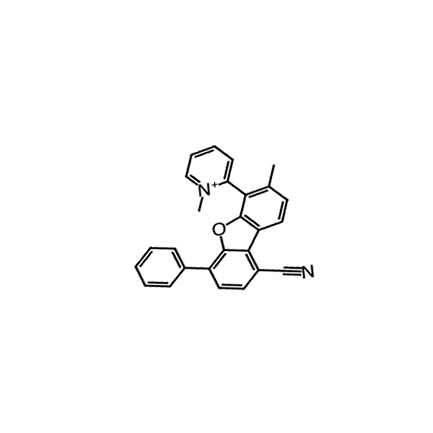 Cc1ccc2c(oc3c(-c4ccccc4)ccc(C#N)c32)c1-c1cccc[n+]1C